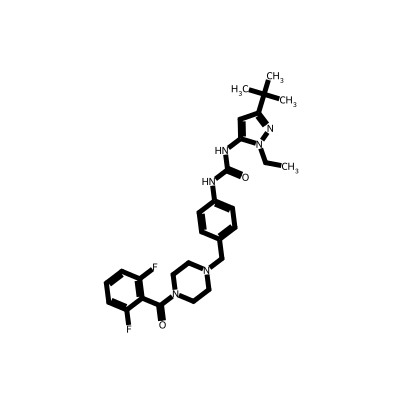 CCn1nc(C(C)(C)C)cc1NC(=O)Nc1ccc(CN2CCN(C(=O)c3c(F)cccc3F)CC2)cc1